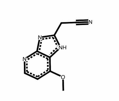 COc1ccnc2nc(CC#N)[nH]c12